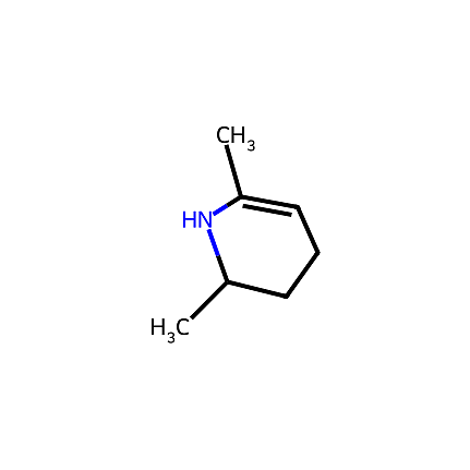 CC1=CCCC(C)N1